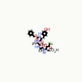 CC(C)[C@H](NC(=O)[C@H](Cc1ccc(O)cc1)NC(=O)OCc1ccccc1)C(=O)N[C@@H](C)C(=O)N[C@@H](CC(=O)O)C(=O)C(=O)CF